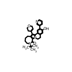 CC(C)(C)N1CCCCc2c(C3=CCOCC3)c3n(c2C1=O)CCc1cc(O)c(-c2cccnc2)cc1-3